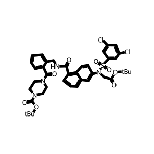 CC(C)(C)OC(=O)CN(c1ccc2c(C(=O)NCc3ccccc3C(=O)N3CCN(C(=O)OC(C)(C)C)CC3)cccc2c1)S(=O)(=O)c1cc(Cl)cc(Cl)c1